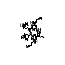 C=CCNc1nc(NCCC#N)nc(N(CCN(c2nc(NCC=C)nc(NCCC#N)n2)C2CC(C)(C)NC(C)(C)C2)C2CC(C)(C)NC(C)(C)C2)n1